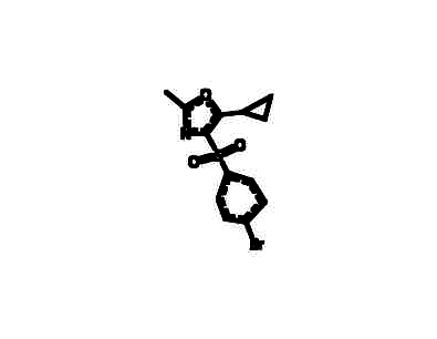 Cc1nc(S(=O)(=O)c2ccc(Br)cc2)c(C2CC2)o1